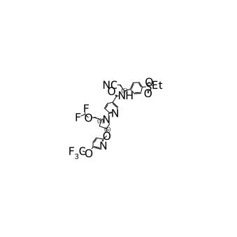 CCS(=O)(=O)c1ccc([C@H](CC#N)NC(=O)c2ccc(N3C[C@@H](Oc4ccc(OC(F)(F)F)cn4)C[C@H]3COC(F)F)nc2)cc1